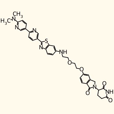 CN(C)c1ccc(-c2ccc(-c3nc4ccc(NCCOCCOc5ccc6c(c5)CN(C5CCC(=O)NC5=O)C6=O)cc4s3)cn2)cn1